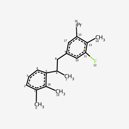 Cc1cccc(C(C)Cc2cc(F)c(C)c(C(C)C)c2)c1C